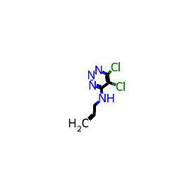 C=CCNc1nnnc(Cl)c1Cl